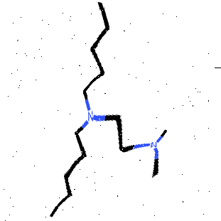 CCCCCN(CCCCC)CCN(C)C